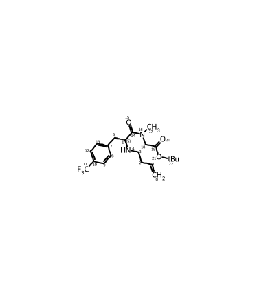 C=CCCN[C@@H](Cc1ccc(C(F)(F)F)cc1)C(=O)N(C)CC(=O)OC(C)(C)C